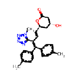 Cc1ccc(C(=C(/C=C/[C@@H]2C[C@@H](O)CC(=O)O2)c2nnnn2C)c2ccc(C)cc2)cc1